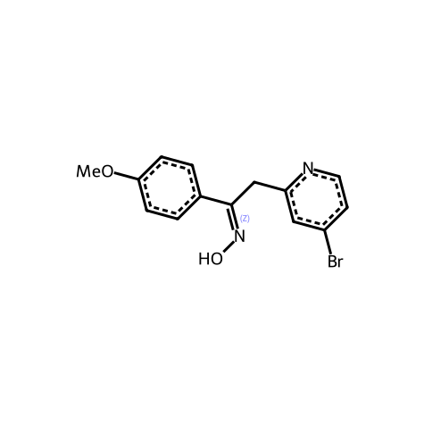 COc1ccc(/C(Cc2cc(Br)ccn2)=N\O)cc1